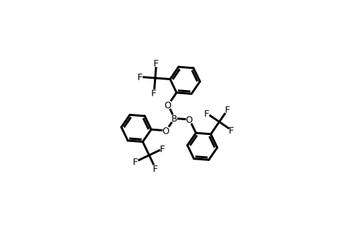 FC(F)(F)c1ccccc1OB(Oc1ccccc1C(F)(F)F)Oc1ccccc1C(F)(F)F